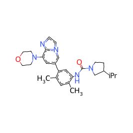 Cc1cc(C)c(-c2cc(N3CCOCC3)c3nccn3c2)cc1NC(=O)N1CCC(C(C)C)C1